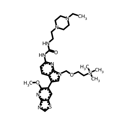 CCN1CCN(CCNC(=O)Nc2ccc3c(-c4cc5scnc5nc4OC)cn(COCC[Si](C)(C)C)c3n2)CC1